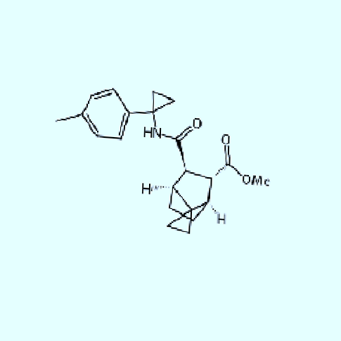 COC(=O)[C@H]1[C@H](C(=O)NC2(c3ccc(C)cc3)CC2)[C@@H]2CC[C@H]1C21CC1